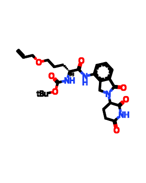 C=CCOCCC[C@@H](NC(=O)OC(C)(C)C)C(=O)Nc1cccc2c1CN(C1CCC(=O)NC1=O)C2=O